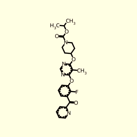 Cc1c(Oc2cccc(C(=O)c3ccccn3)c2F)ncnc1OC1CCN(C(=O)OC(C)C)CC1